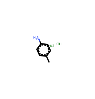 Cc1ccc(N)cc1.Cl.Cl